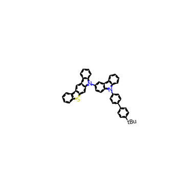 CC(C)(C)c1ccc(-c2ccc(-n3c4ccccc4c4cc(-n5c6ccccc6c6cc7c(cc65)sc5ccccc57)ccc43)cc2)cc1